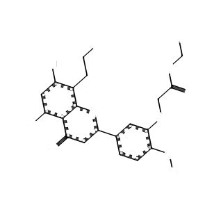 CCCc1c(O)cc(O)c2c(=O)cc(-c3ccc(OC)c(OCC(=O)OCC)c3)oc12